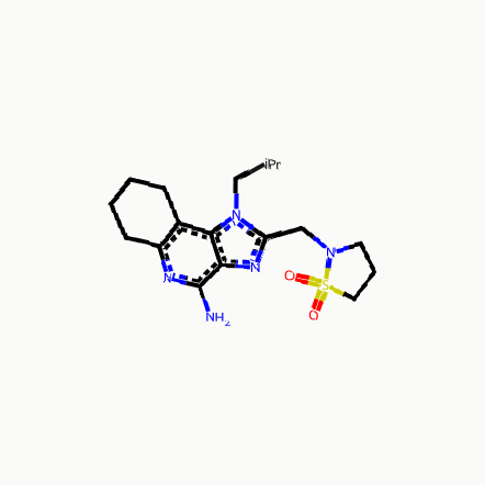 CC(C)Cn1c(CN2CCCS2(=O)=O)nc2c(N)nc3c(c21)CCCC3